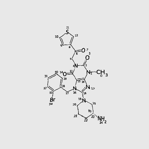 Cn1c(=O)n(CC(=O)c2ccsc2)c(=O)c2c1nc(N1CCC[C@@H](N)C1)n2Cc1ccccc1Br